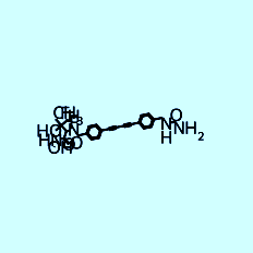 CCC(O)(C(F)F)C(NC(=O)c1ccc(C#CC#Cc2ccc(CNC(N)=O)cc2)cc1)C(=O)NO